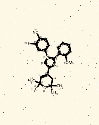 COc1ccccc1-c1nc(C2=CC(C)(C)OC(C)(C)C2)cn1-c1ccc(C#N)c(F)c1